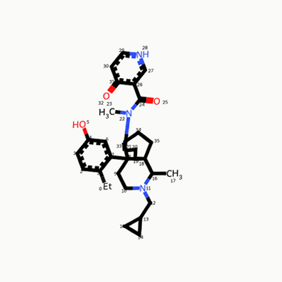 CCc1ccc(O)cc1C12CCN(CC3CC3)C(C)C13CCC(N(C)C(=O)c1c[nH]ccc1=O)C2CC3